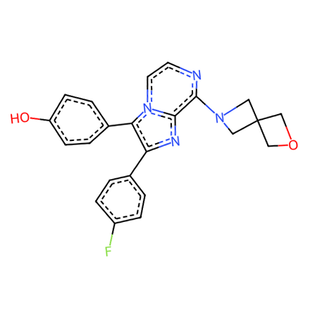 Oc1ccc(-c2c(-c3ccc(F)cc3)nc3c(N4CC5(COC5)C4)nccn23)cc1